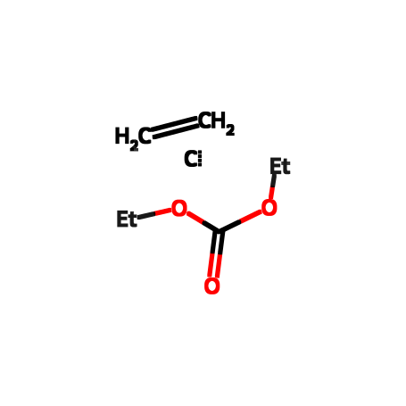 C=C.CCOC(=O)OCC.[C]